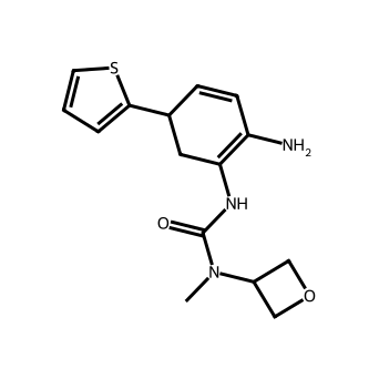 CN(C(=O)NC1=C(N)C=CC(c2cccs2)C1)C1COC1